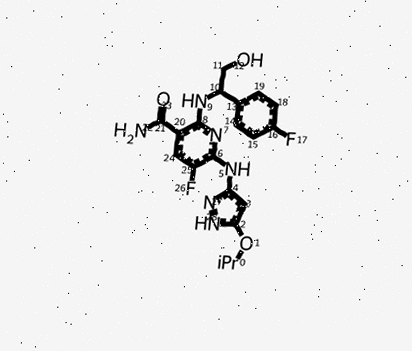 CC(C)Oc1cc(Nc2nc(NC(CO)c3ccc(F)cc3)c(C(N)=O)cc2F)n[nH]1